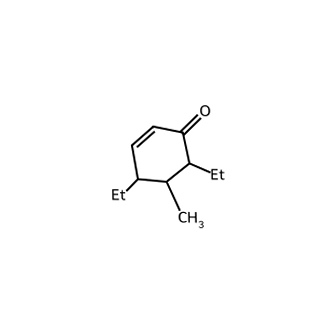 CCC1C=CC(=O)C(CC)C1C